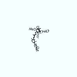 COc1c(Cl)c(C)c(C=O)c(O)c1C/C=C(C)/C=C/[C@@]1(C)[C@H](C)CCC(=NOC(=O)CN(C)C)[C@@H]1C